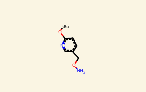 CC(C)(C)Oc1ccc(CON)cn1